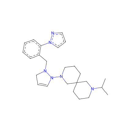 CC(C)N1CCCC2(CCCN(N3C=CCN3Cc3ccccc3-n3cccn3)C2)C1